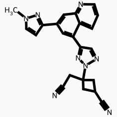 Cn1ccc(-c2cc(-c3cnn(C4(CC#N)CC(C#N)C4)n3)c3cccnc3c2)n1